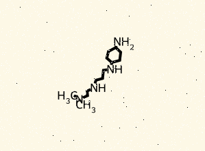 CN(C)CCNCCCNC1CCC(N)CC1